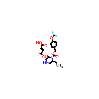 CCC1CNCCN1C(=O)OCc1ccc(OC(F)F)cc1.O=C(O)C=CC(=O)O